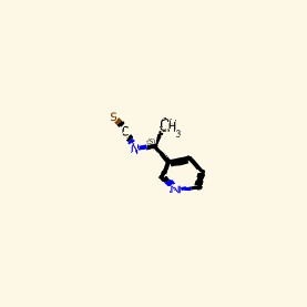 C[C@H](N=C=S)c1cccnc1